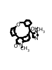 Cn1cncc1C1(O)c2cccc(c2)COc2cccc(c2)-c2cc(=O)n(C)c3ccc1cc23